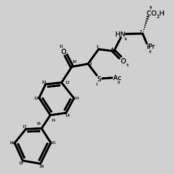 CC(=O)SC(CC(=O)N[C@H](C(=O)O)C(C)C)C(=O)c1ccc(-c2ccccc2)cc1